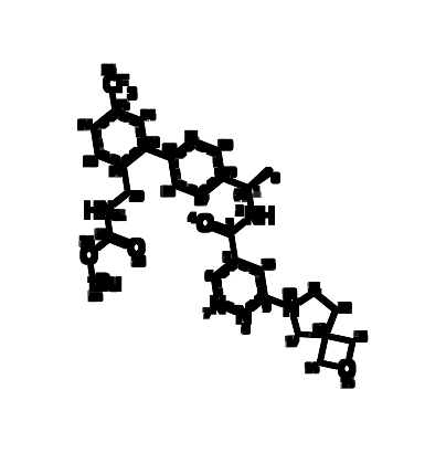 C[C@@H](NC(=O)c1cnnc(N2CCC3(COC3)C2)c1)c1ccc(-c2cc(C(F)(F)F)ccc2CNC(=O)OC(C)(C)C)cc1